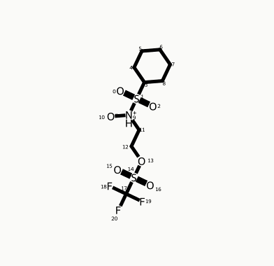 O=S(=O)(C1CCCCC1)[NH+]([O-])CCOS(=O)(=O)C(F)(F)F